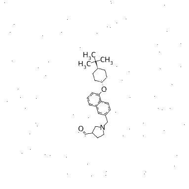 CC(C)(C)[C@H]1CC[C@H](Oc2cccc3cc(CN4CCC([C]=O)C4)ccc23)CC1